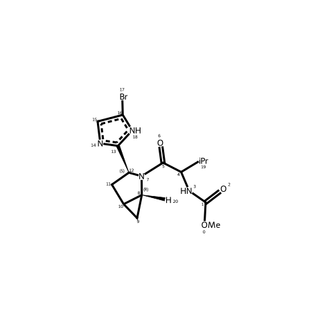 COC(=O)NC(C(=O)N1[C@@H]2CC2C[C@H]1c1ncc(Br)[nH]1)C(C)C